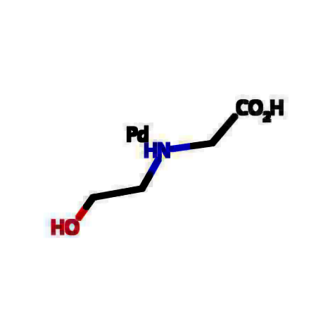 O=C(O)CNCCO.[Pd]